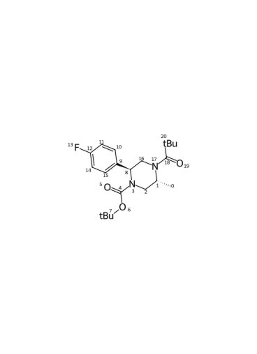 C[C@@H]1CN(C(=O)OC(C)(C)C)[C@@H](c2ccc(F)cc2)CN1C(=O)C(C)(C)C